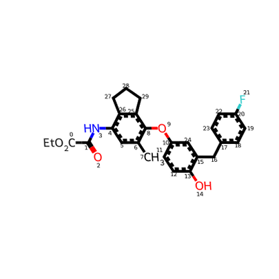 CCOC(=O)C(=O)Nc1cc(C)c(Oc2ccc(O)c(Cc3ccc(F)cc3)c2)c2c1CCC2